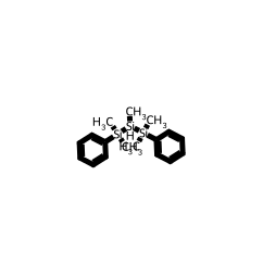 C[SiH]([Si](C)(C)c1ccccc1)[Si](C)(C)c1ccccc1